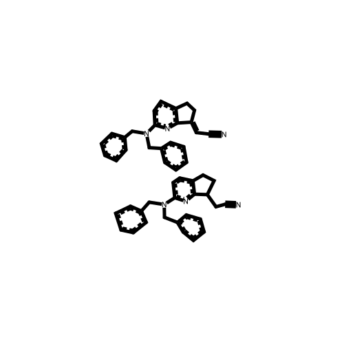 N#CC=C1CCc2ccc(N(Cc3ccccc3)Cc3ccccc3)nc21.N#CCC1CCc2ccc(N(Cc3ccccc3)Cc3ccccc3)nc21